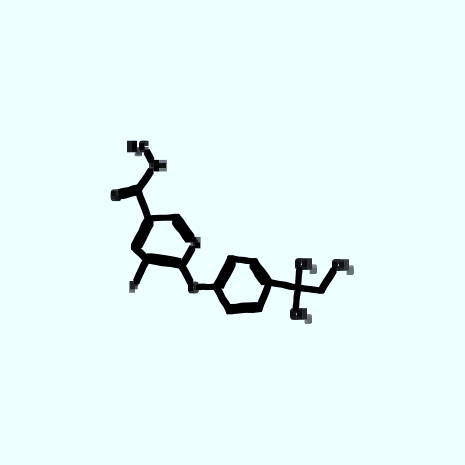 CCC(C)(C)c1ccc(Oc2ncc(C(=O)NC)cc2F)cc1